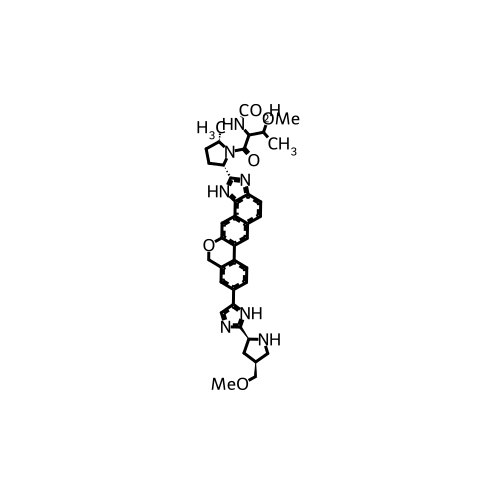 COC[C@@H]1CN[C@H](c2ncc(-c3ccc4c(c3)COc3cc5c(ccc6nc([C@@H]7CC[C@H](C)N7C(=O)C(NC(=O)O)C(C)OC)[nH]c65)cc3-4)[nH]2)C1